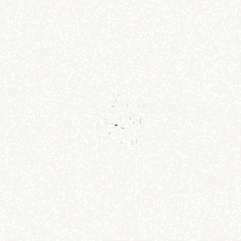 N[C@]1(C(=O)O)C(=O)C[C@H]2[C@H]1[C@]2(F)C(=O)O